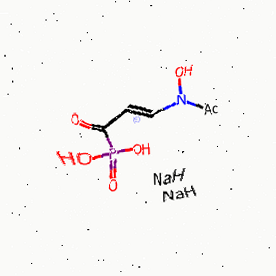 CC(=O)N(O)/C=C/C(=O)P(=O)(O)O.[NaH].[NaH]